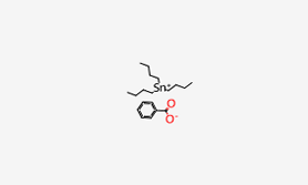 CCC[CH2][Sn+]([CH2]CCC)[CH2]CCC.O=C([O-])c1ccccc1